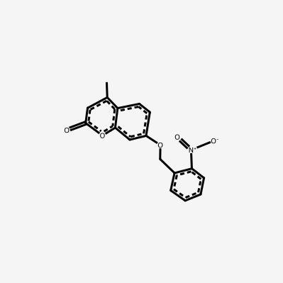 Cc1cc(=O)oc2cc(OCc3ccccc3[N+](=O)[O-])ccc12